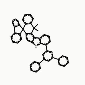 CC1(C)c2ccccc2C2(c3ccccc3-c3ccccc32)c2ccc3oc4c(-c5cc(-c6ccccc6)cc(-c6ccccc6)n5)cccc4c3c21